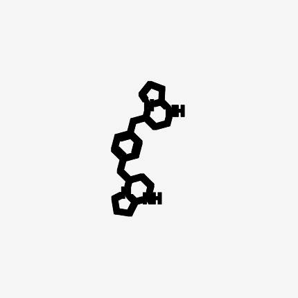 c1cc(CC2CCNC3CCCN23)ccc1CC1CCNC2CCCN12